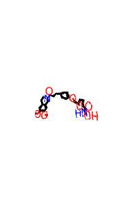 COc1cc2c(cc1OC)CN(C(=O)/C=C/c1ccc(OCc3ccc(C(=O)NO)o3)cc1)CC2